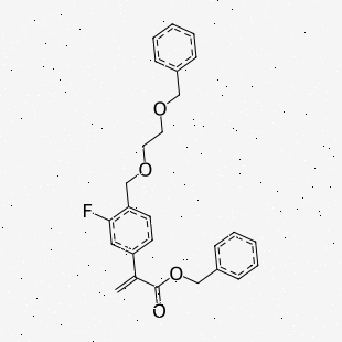 C=C(C(=O)OCc1ccccc1)c1ccc(COCCOCc2ccccc2)c(F)c1